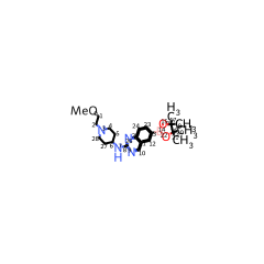 COCCN1CCC(Nc2ncc3cc(B4OC(C)(C)C(C)(C)O4)ccc3n2)CC1